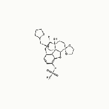 O=S(=O)(Oc1ccc2c3c1OC1C4(CCC5(O)[C@H](C2)N(CC2CCCO2)CC[C@@]315)OCCO4)C(F)(F)F